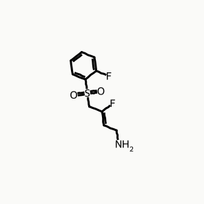 NC/C=C(\F)CS(=O)(=O)c1ccccc1F